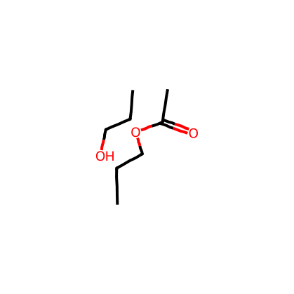 CCCO.CCCOC(C)=O